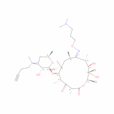 C#CCCN(C)[C@H]1C[C@@H](C)O[C@@H](O[C@@H]2[C@@H](C)C(=O)[C@@H](C)C(=O)O[C@H](CC)[C@](O)(CC)[C@H](O)[C@@H](C)/C(=N/OCCCN(C)C)[C@H](C)C[C@@]2(C)OC)[C@@H]1O